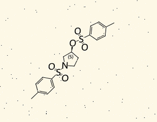 Cc1ccc(S(=O)(=O)O[C@H]2CCN(S(=O)(=O)c3ccc(C)cc3)C2)cc1